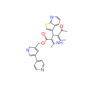 CC(=O)C1=C(C)NC(C)=C(C(=O)OCc2cncc(-c3ccncc3)c2)C1c1csc2ncccc12